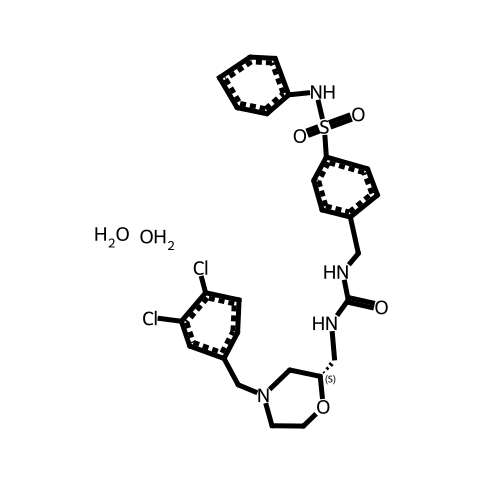 O.O.O=C(NCc1ccc(S(=O)(=O)Nc2ccccc2)cc1)NC[C@H]1CN(Cc2ccc(Cl)c(Cl)c2)CCO1